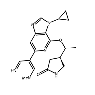 CN/C=C(\C=N)c1cc2ncn(C3CC3)c2c(O[C@H](C)[C@H]2CNC(=O)C2)n1